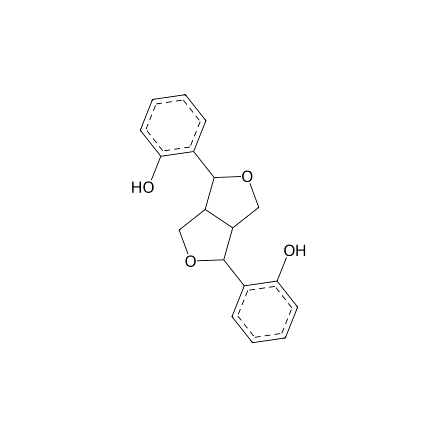 Oc1ccccc1C1OCC2C(c3ccccc3O)OCC12